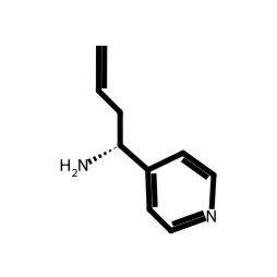 C=CC[C@@H](N)c1ccncc1